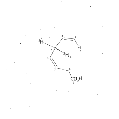 [2H]C([2H])(/C=C\CC)/C=C\CC(=O)O